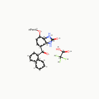 CCCCCOc1ccc(C(=O)c2cccc3ccccc23)c2[nH]c(=O)[nH]c12.O=C(O)C(F)(F)F